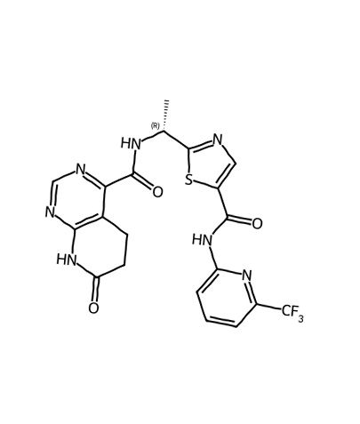 C[C@@H](NC(=O)c1ncnc2c1CCC(=O)N2)c1ncc(C(=O)Nc2cccc(C(F)(F)F)n2)s1